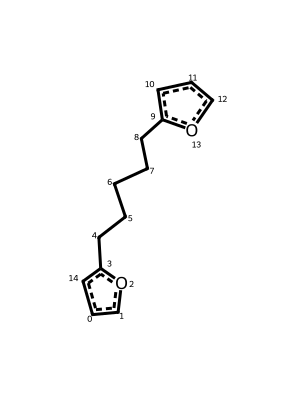 c1coc(CCCCCc2ccco2)c1